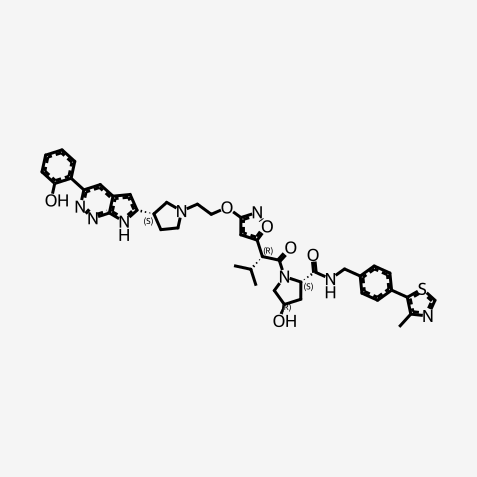 Cc1ncsc1-c1ccc(CNC(=O)[C@@H]2C[C@@H](O)CN2C(=O)[C@@H](c2cc(OCCN3CC[C@H](c4cc5cc(-c6ccccc6O)nnc5[nH]4)C3)no2)C(C)C)cc1